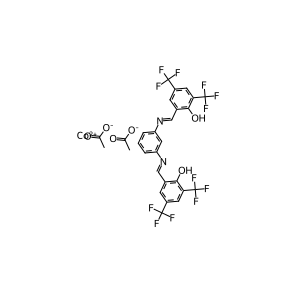 CC(=O)[O-].CC(=O)[O-].Oc1c(C=Nc2cccc(N=Cc3cc(C(F)(F)F)cc(C(F)(F)F)c3O)c2)cc(C(F)(F)F)cc1C(F)(F)F.[Co+2]